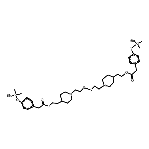 CC(C)(C)[Si](C)(C)Oc1ccc(CC(=O)OCCC2CCN(CCSSCCN3CCC(CCOC(=O)Cc4ccc(O[Si](C)(C)C(C)(C)C)cc4)CC3)CC2)cc1